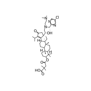 CC(C)C1=C2[C@H]3CC[C@@H]4[C@@]5(C)CC[C@H](OC(=O)CC(C)(C)C(=O)O)C(C)(C)[C@@H]5CC[C@@]4(C)[C@]3(C)CC[C@@]2([C@@H](O)CN(CCN(C)C)[C@@H](C)c2ncc(Cl)cn2)CC1=O